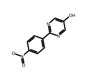 O=[N+]([O-])c1ccc(-c2ncc(O)cn2)cc1